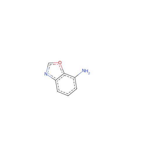 Nc1cccc2ncoc12